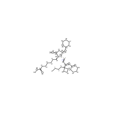 CCCCC1([C@@H](/C=C/[C@@H]2[C@@H](CCCCCCC(=O)OC)[C@@H](O)C[C@H]2OC2CCCCO2)OC2CCCCO2)CCC1